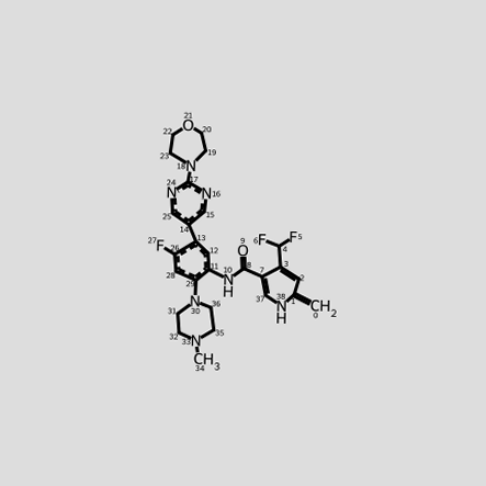 C=C1C=C(C(F)F)C(C(=O)Nc2cc(-c3cnc(N4CCOCC4)nc3)c(F)cc2N2CCN(C)CC2)=CN1